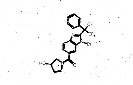 CCn1c(C(O)(c2ccccc2)C(F)(F)F)nc2ccc(C(=O)N3CC[C@@H](O)C3)cc21